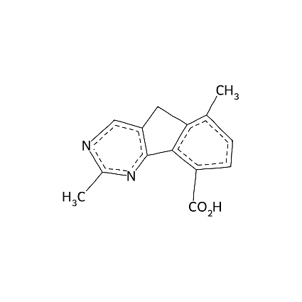 Cc1ncc2c(n1)-c1c(C(=O)O)ccc(C)c1C2